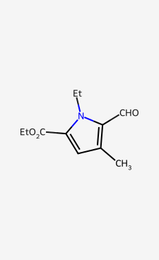 CCOC(=O)c1cc(C)c(C=O)n1CC